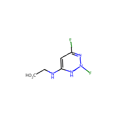 O=C(O)CNC1=CC(F)=NN(F)N1